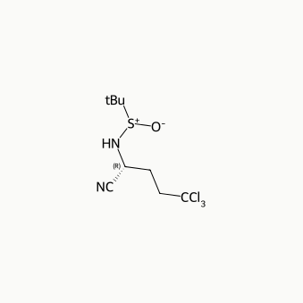 CC(C)(C)[S+]([O-])N[C@@H](C#N)CCC(Cl)(Cl)Cl